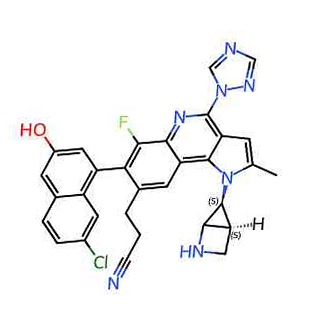 Cc1cc2c(-n3cncn3)nc3c(F)c(-c4cc(O)cc5ccc(Cl)cc45)c(CCC#N)cc3c2n1[C@@H]1C2NC[C@@H]21